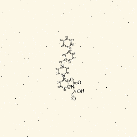 O=CC(O)n1c(=O)oc2c(N3CCN(Cc4cccc(-c5ccccc5)c4)CC3)cccc21